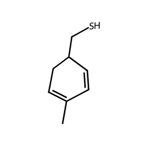 CC1=CCC(CS)C=C1